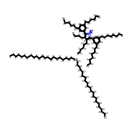 CCCCCCCCCCCCCCCCCCCCC[CH2][Ni][CH2]CCCCCCCCCCCCCCCCCCCCC.CCCCCCCCc1cc(CCCCCCCC)cc(C2=C(CCCCCC)C(CCCC)=C(c3cc(CCCCCC)cc(CCCCCC)c3)[N+]2=[N-])c1